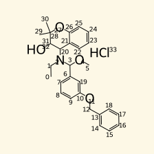 CCN(C(OC)c1cccc(OCc2ccccc2)c1)C1c2ccccc2OC(C)(C)C1O.Cl